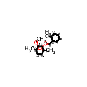 COC1C(OCc2ccccc2C)[C@]2(C)C=C[C@@]1(C)O2